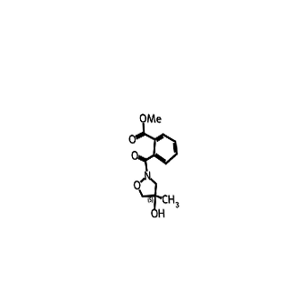 COC(=O)c1ccccc1C(=O)N1C[C@](C)(O)CO1